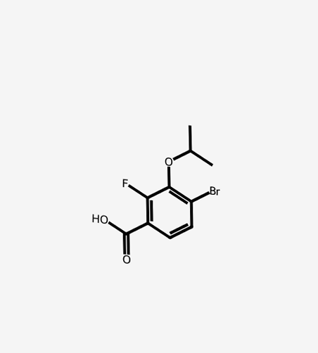 CC(C)Oc1c(Br)ccc(C(=O)O)c1F